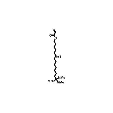 C=CC(=O)OCCCCCCCCCCCCCC(NC)(NC)NC.Cl